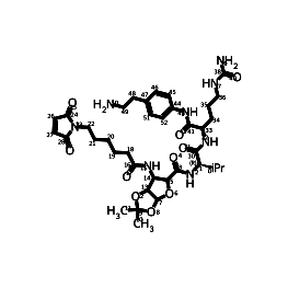 CC(C)[C@@H](NC(=O)C1OC2OC(C)(C)OC2C1NC(=O)CCCCCN1C(=O)C=CC1=O)C(=O)NC(CCCNC(N)=O)C(=O)Nc1ccc(CCN)cc1